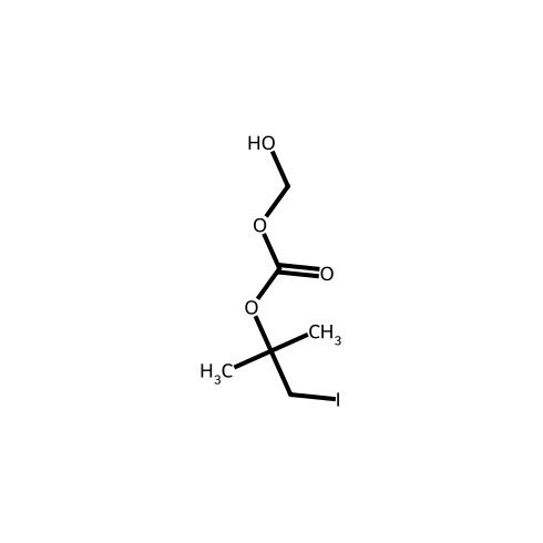 CC(C)(CI)OC(=O)OCO